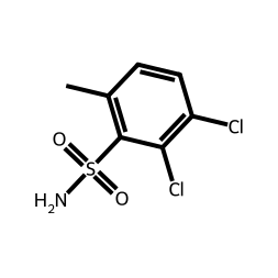 Cc1ccc(Cl)c(Cl)c1S(N)(=O)=O